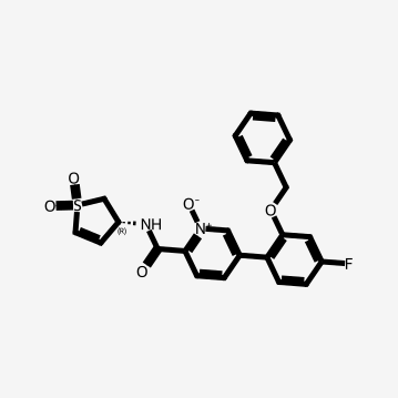 O=C(N[C@@H]1C=CS(=O)(=O)C1)c1ccc(-c2ccc(F)cc2OCc2ccccc2)c[n+]1[O-]